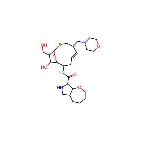 O=C(NC1C/C=C/C(CN2CCOCC2)CSC2OC1C(O)C2CO)C1NCC2CCCCOC21